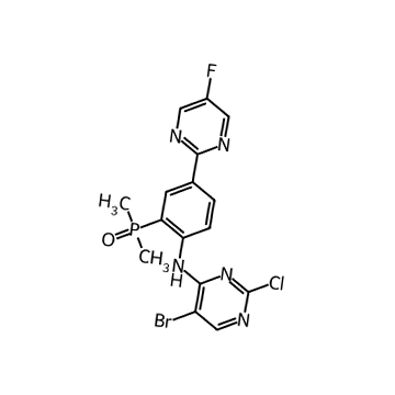 CP(C)(=O)c1cc(-c2ncc(F)cn2)ccc1Nc1nc(Cl)ncc1Br